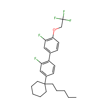 CCCCCC1(c2ccc(-c3ccc(OCC(F)(F)F)c(F)c3)c(F)c2)CCCCC1